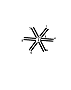 [CH2]=[Ti](=[CH2])(=[CH2])(=[CH2])(=[CH2])=[CH2]